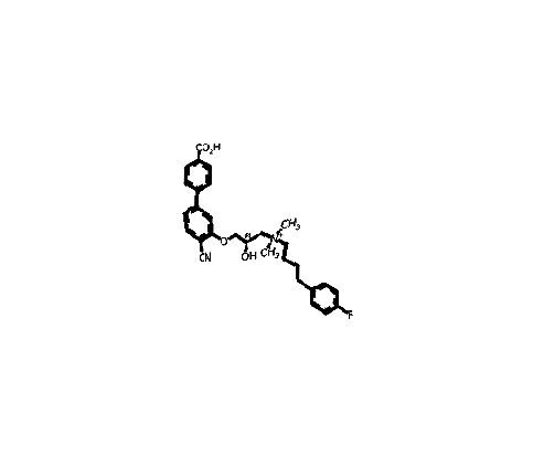 C[N+](C)(CCCCc1ccc(F)cc1)C[C@@H](O)COc1cc(-c2ccc(C(=O)O)cc2)ccc1C#N